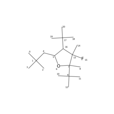 CC(C)(C)CC1OC(C)(C(C)(C)C)C(C)(F)C1C(C)(C)C